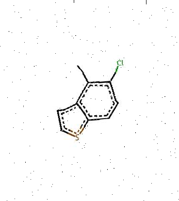 Cc1c(Cl)ccc2sccc12